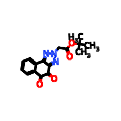 CC(C)(C)OC(=O)Cn1nc2c(n1)-c1ccccc1C(=O)C2=O